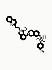 CC(C)c1ccc(S(=O)(=O)Nc2ccc3c(c2)CN(c2cccc4c2C(=O)N(CCc2ccc5ccccc5n2)C4)CC3)cc1